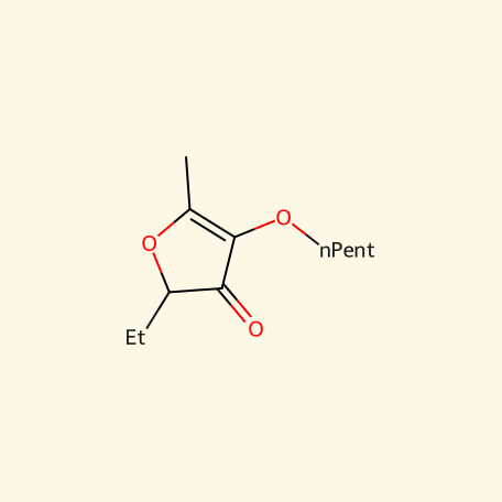 CCCCCOC1=C(C)OC(CC)C1=O